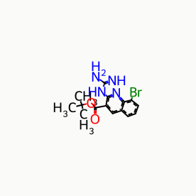 CC(C)(C)OC(=O)c1cc2cccc(Br)c2nc1NC(=N)N